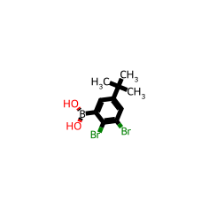 CC(C)(C)c1cc(Br)c(Br)c(B(O)O)c1